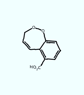 O=C(O)c1cccc2c1C=CCOO2